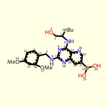 CCCCC(CO)Nc1nc(NCc2ccc(OC)cc2OC)nc2cc(B(O)O)cnc12